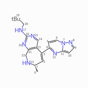 C[C@@H]1C=C(c2ccn3nccc3n2)c2cnc(NCC(C)(C)C)nc2CN1